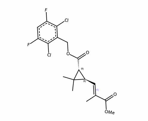 COC(=O)/C(C)=C/[C@@H]1[C@@H](C(=O)OCc2c(Cl)c(F)cc(F)c2Cl)C1(C)C